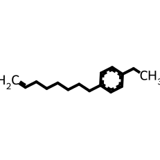 C=CCCCCCCc1ccc(CC)cc1